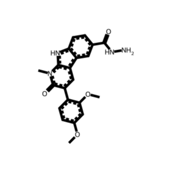 COc1ccc(-c2cc3c4cc(C(=O)NN)ccc4[nH]c3n(C)c2=O)c(OC)c1